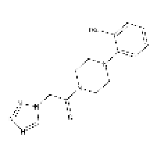 CC(C)(C)c1ccccc1N1CCN(C(=O)Cn2cnnn2)CC1